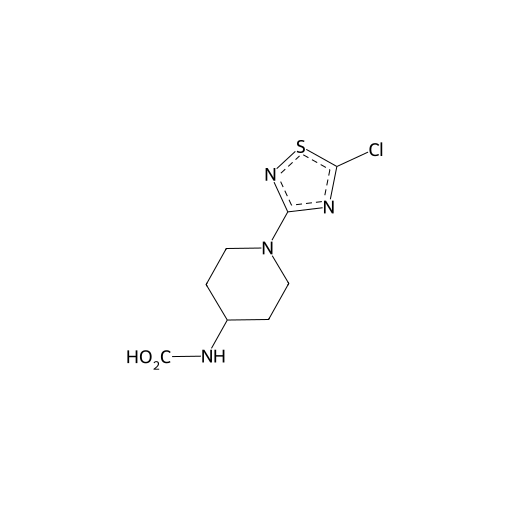 O=C(O)NC1CCN(c2nsc(Cl)n2)CC1